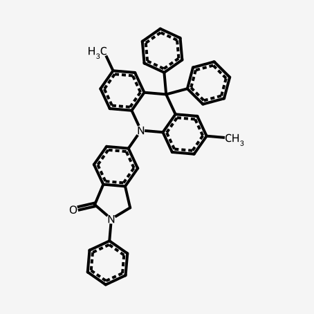 Cc1ccc2c(c1)C(c1ccccc1)(c1ccccc1)c1cc(C)ccc1N2c1ccc2c(c1)CN(c1ccccc1)C2=O